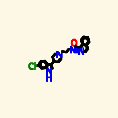 O=C(NCCCN1CCC(c2c[nH]c3cc(Cl)ccc23)CC1)c1nccc2ccccc12